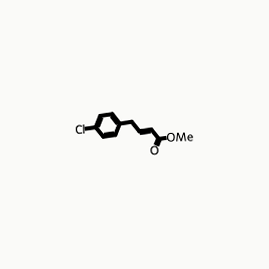 COC(=O)/C=C/Cc1ccc(Cl)cc1